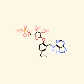 Cc1ccc(OC2O[C@H](COP(=O)(O)O)[C@@H](O)[C@H]2O)c(CNc2ncnc3nc[nH]c23)c1